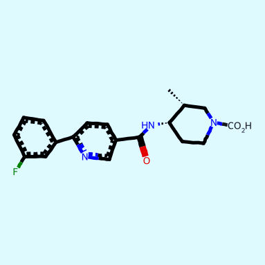 C[C@@H]1CN(C(=O)O)CC[C@@H]1NC(=O)c1ccc(-c2cccc(F)c2)nc1